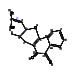 CCC/C(=C\C1OC2=C(CC1C)C(=O)C(=O)c1ccccc12)C(C)C